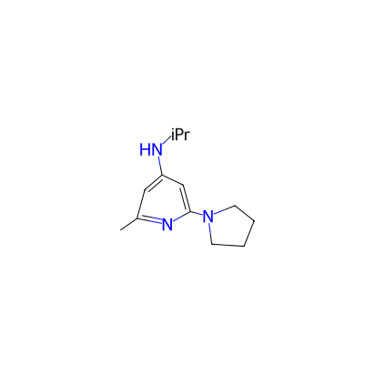 Cc1cc(NC(C)C)cc(N2CCCC2)n1